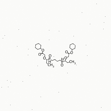 CCC(OCC(=O)OC1CCCCC1)[PH](=O)CCCC[PH](=O)C(CC)OCC(=O)OC1CCCCC1